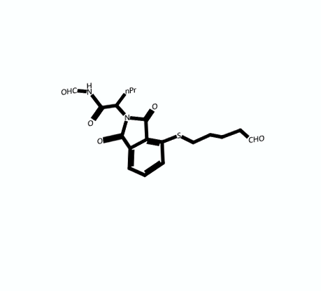 CCCC(C(=O)NC=O)N1C(=O)c2cccc(SCCCCC=O)c2C1=O